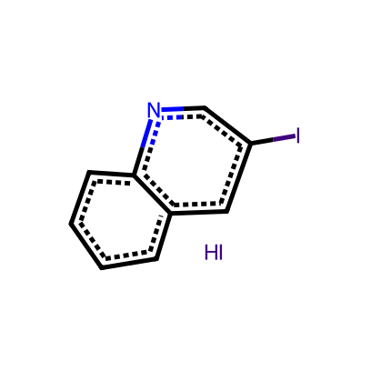 I.Ic1cnc2ccccc2c1